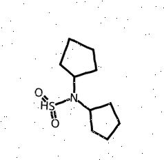 O=[SH](=O)N(C1CCCC1)C1CCCC1